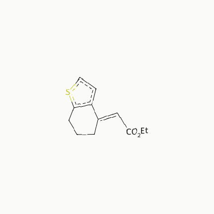 CCOC(=O)C=C1CCCc2sccc21